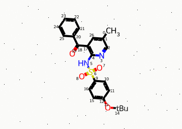 Cc1cnc(NS(=O)(=O)c2ccc(OC(C)(C)C)cc2)c(C(=O)c2ccccc2)c1